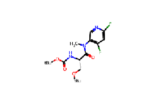 CN(C(=O)[C@H](COC(C)(C)C)NC(=O)OC(C)(C)C)c1cnc(F)cc1F